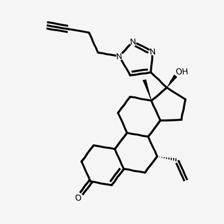 C#CCCn1cc([C@]2(O)CCC3C4C(CC[C@@]32C)C2CCC(=O)C=C2C[C@H]4C=C)nn1